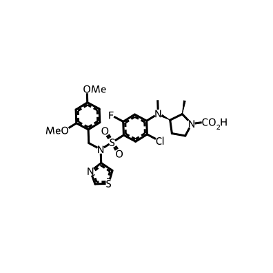 COc1ccc(CN(c2cscn2)S(=O)(=O)c2cc(Cl)c(N(C)[C@@H]3CCN(C(=O)O)[C@@H]3C)cc2F)c(OC)c1